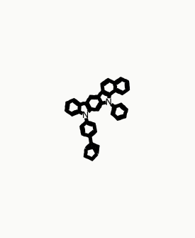 c1ccc(-n2c3cc4c(cc3c3ccc5ccccc5c32)c2ccccc2n4-c2ccc(C3CC4CCC3C4)cc2)cc1